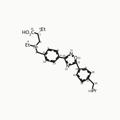 CC[C@H](CN(CC)Cc1ccc(-c2noc(-c3ccc(CC(C)C)cc3)n2)cc1)C(=O)O